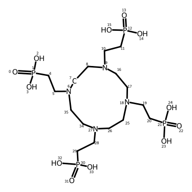 O=P(O)(O)CCN1CCN(CCP(=O)(O)O)CCN(CCP(=O)(O)O)CCN(CCP(=O)(O)O)CC1